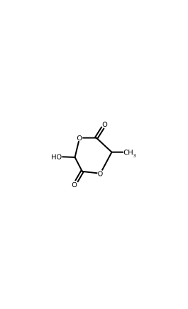 CC1OC(=O)C(O)OC1=O